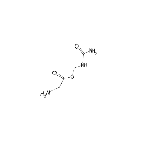 NCC(=O)OCNC(N)=O